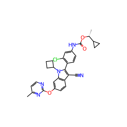 Cc1ccnc(Oc2ccc3c(C#N)c(-c4ccc(NC(=O)O[C@H](C)C5CC5)cc4Cl)n(C4CCC4)c3c2)n1